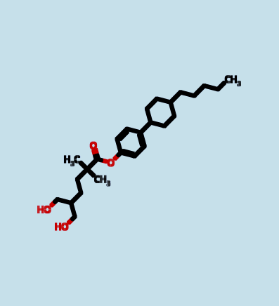 CCCCCC1CCC(c2ccc(OC(=O)C(C)(C)CCC(CO)CO)cc2)CC1